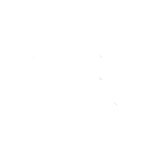 [CH2]c1cccc(OCC(O)CNCCN2CCOCC2)c1